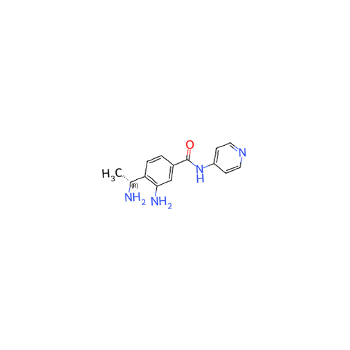 C[C@@H](N)c1ccc(C(=O)Nc2ccncc2)cc1N